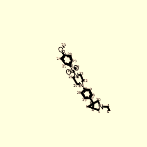 CCN1CC2CC2(c2ccc(N3CCN(S(=O)(=O)c4ccc(OC)cc4)CC3)cc2)C1